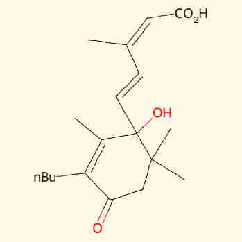 CCCCC1=C(C)C(O)(/C=C/C(C)=C\C(=O)O)C(C)(C)CC1=O